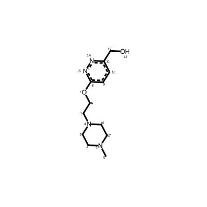 CN1CCN(CCOc2ccc(CO)nn2)CC1